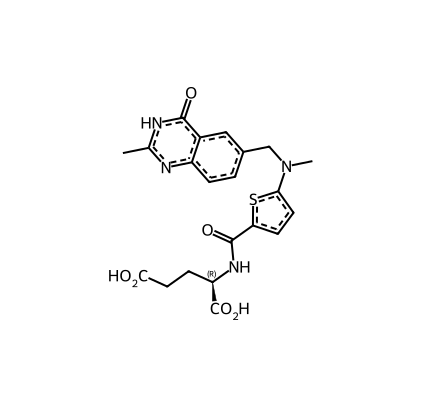 Cc1nc2ccc(CN(C)c3ccc(C(=O)N[C@H](CCC(=O)O)C(=O)O)s3)cc2c(=O)[nH]1